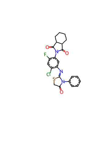 O=C1CSC(=Nc2cc(N3C(=O)C4CCCCC4C3=O)c(F)cc2Cl)N1c1ccccc1